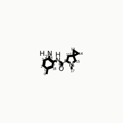 Cc1ccc(N)c(NC(=O)[C@@H]2CC3(CC3)CN2C)c1